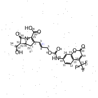 C[C@H]1C(/C=C/COC(=O)Nc2ccc3c(C(F)(F)F)cc(=O)oc3c2)=C(C(=O)O)N2C(=O)[C@H]([C@@H](C)O)C12